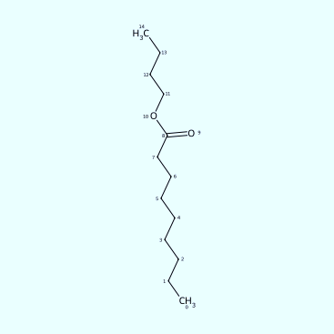 CCCCCCCCC(=O)OCCCC